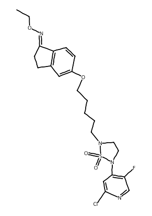 CCO/N=C1\CCc2cc(OCCCCCN3CCN(c4cc(Cl)ncc4F)S3(=O)=O)ccc21